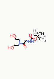 CC(C)(C)OC(=O)NCC(=O)N(CCO)CCO